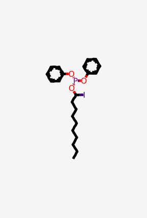 CCCCCCCCCC(I)OP(Oc1ccccc1)Oc1ccccc1